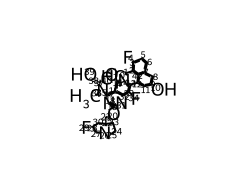 C#Cc1c(F)ccc2cc(O)cc(-c3nc4c5c(nc(OC[C@@]67CCCN6C[C@H](F)C7)nc5c3F)N(C)[C@H](CO)CO4)c12